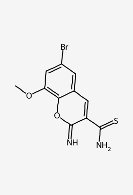 COc1cc(Br)cc2cc(C(N)=S)c(=N)oc12